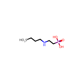 O=P(O)(O)CCNCCCS(=O)(=O)O